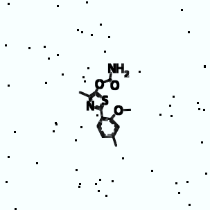 COc1cc(C)ccc1-c1nc(C)c(OC(N)=O)s1